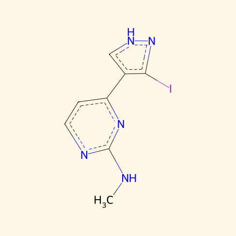 CNc1nccc(-c2c[nH]nc2I)n1